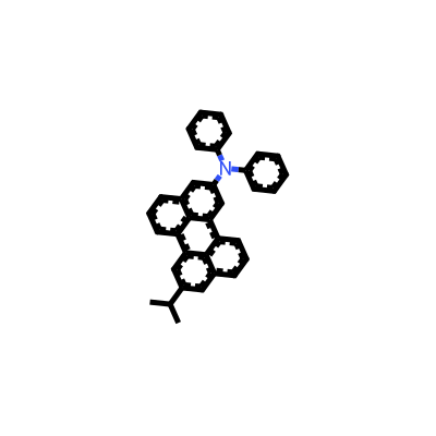 CC(C)c1cc2cccc3c4cc(N(c5ccccc5)c5ccccc5)cc5cccc(c(c1)c23)c54